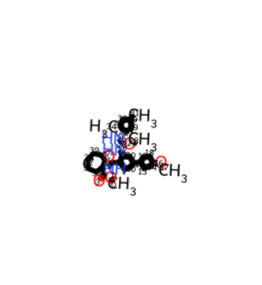 COC(=O)C1(NC(=O)c2ccc(-c3ccc(OC)cc3)cc2NC(=O)Nc2c(C)cc(C)cc2C)CCCCCCC1